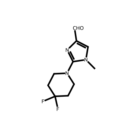 Cn1cc(C=O)nc1N1CCC(F)(F)CC1